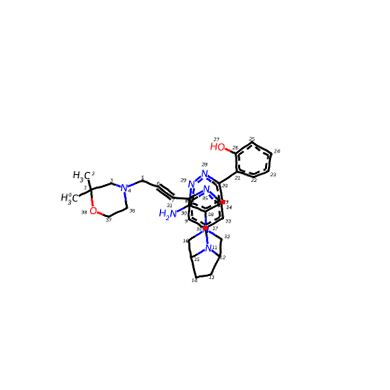 CC1(C)CN(CC#Cc2cc(N3C4CCC3CN(c3cc(-c5ccccc5O)nnc3N)C4)ccn2)CCO1